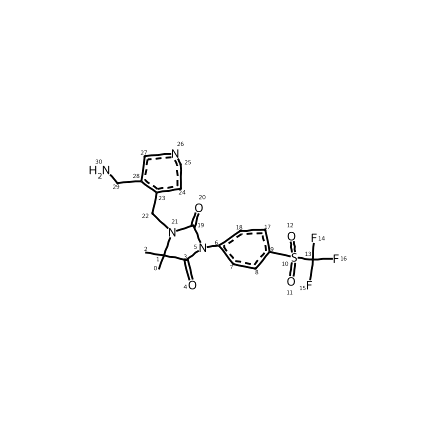 CC1(C)C(=O)N(c2ccc(S(=O)(=O)C(F)(F)F)cc2)C(=O)N1Cc1ccncc1CN